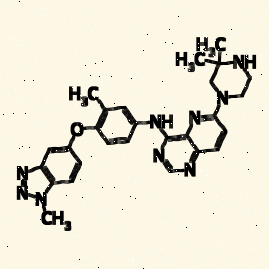 Cc1cc(Nc2ncnc3ccc(N4CCNC(C)(C)C4)nc23)ccc1Oc1ccc2c(c1)nnn2C